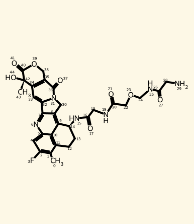 Cc1c(F)cc2nc3c(c4c2c1CC[C@@H]4NC(=O)CNC(=O)COCNC(=O)CN)Cn1c-3cc2c(c1=O)COC(=O)[C@@]2(C)O